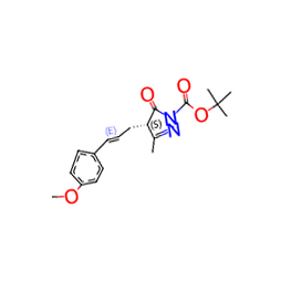 COc1ccc(/C=C/C[C@@H]2C(=O)N(C(=O)OC(C)(C)C)N=C2C)cc1